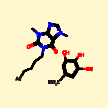 CC(=O)CCCCn1c(=O)c2c(ncn2C)n(C)c1=O.O=C(O)c1cc(O)c(O)c(O)c1